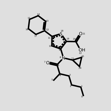 CCCCC(C)C(=O)N(c1cc(C2=CCCCC2)sc1C(=O)O)C1CC1